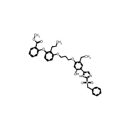 CCCc1c(OCCCOc2cc(O)c(-c3cnc(S(=O)(=O)Cc4ccccc4)[nH]3)cc2CC)cccc1Oc1ccccc1C(=O)OC